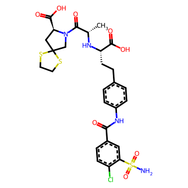 C[C@H](N[C@@H](CCc1ccc(NC(=O)c2ccc(Cl)c(S(N)(=O)=O)c2)cc1)C(=O)O)C(=O)N1CC2(C[C@H]1C(=O)O)SCCS2